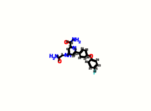 NC(=O)CNc1cc(C(N)=O)nc(-c2ccc(Oc3ccc(F)cc3)cc2)c1